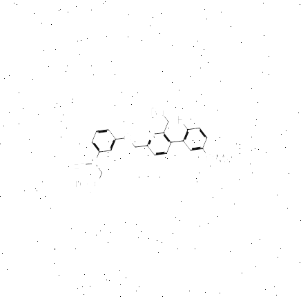 CCOC(=O)CN(CC)c1cccc(OCc2ccc(-c3cc(OC)ccc3F)c(CC(C)(C)C)n2)c1